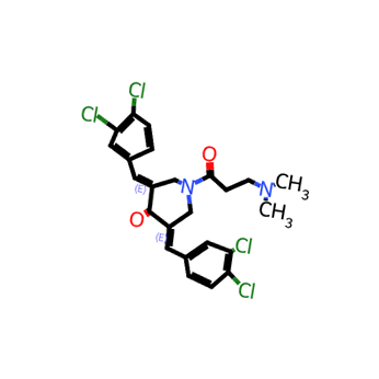 CN(C)CCC(=O)N1C/C(=C\c2ccc(Cl)c(Cl)c2)C(=O)/C(=C/c2ccc(Cl)c(Cl)c2)C1